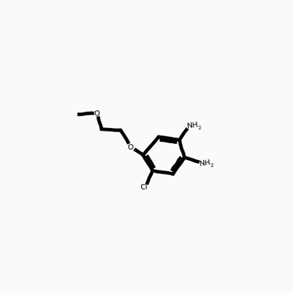 COCCOc1cc(N)c(N)cc1Cl